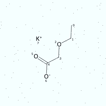 CCOCC(=O)[O-].[K+]